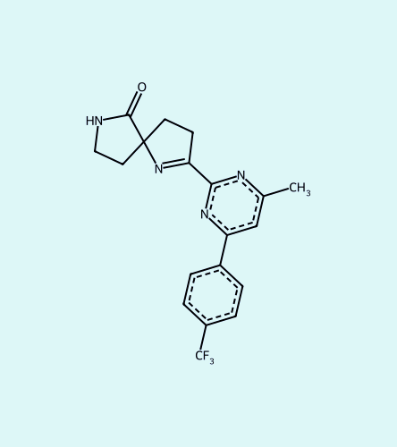 Cc1cc(-c2ccc(C(F)(F)F)cc2)nc(C2=NC3(CCNC3=O)CC2)n1